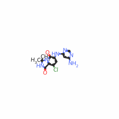 CC1(C)NC(=O)c2c(Cl)cc(Nc3cc(N)ncn3)c(=O)n21